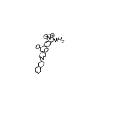 Nc1cc2c(cc1[N+](=O)[O-])C(=O)CC1(CCN(C3CCc4ccccc4C3)CC1)O2